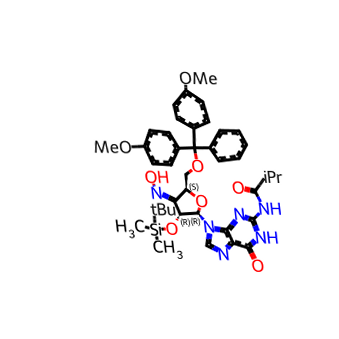 COc1ccc(C(OC[C@H]2O[C@@H](n3cnc4c(=O)[nH]c(NC(=O)C(C)C)nc43)[C@H](O[Si](C)(C)C(C)(C)C)C2=NO)(c2ccccc2)c2ccc(OC)cc2)cc1